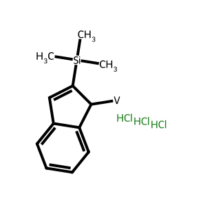 C[Si](C)(C)C1=Cc2ccccc2[CH]1[V].Cl.Cl.Cl